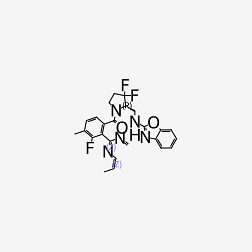 C=N/C(=N\C=C/C)c1c(C(=O)N2CCC(F)(F)[C@H]2CNc2nc3ccccc3o2)ccc(C)c1F